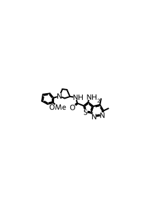 COc1ccccc1N1CCC(NC(=O)c2sc3nnc(C)c(C)c3c2N)C1